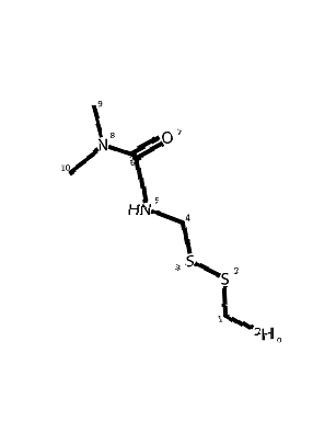 [2H]CSSCNC(=O)N(C)C